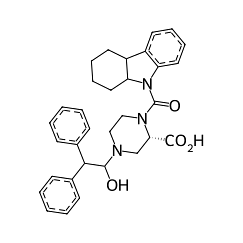 O=C(O)[C@@H]1CN(C(O)C(c2ccccc2)c2ccccc2)CCN1C(=O)N1c2ccccc2C2CCCCC21